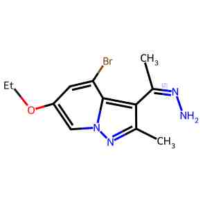 CCOc1cc(Br)c2c(/C(C)=N\N)c(C)nn2c1